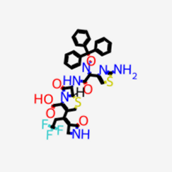 Nc1nc(C(=NOC(c2ccccc2)(c2ccccc2)c2ccccc2)C(=O)N[C@@H]2C(=O)N3C(C(=O)O)=C(C(CC(F)(F)F)=C4CNC4=O)CS[C@H]23)cs1